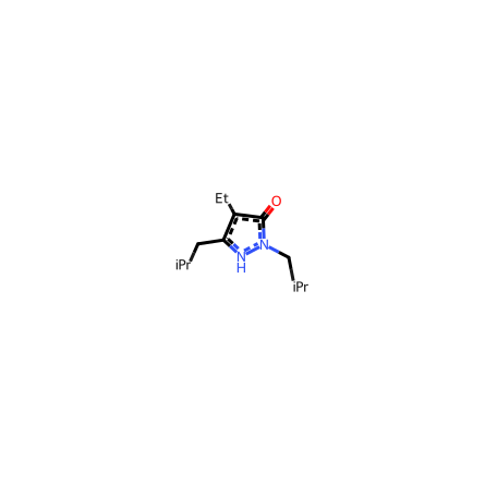 CCc1c(CC(C)C)[nH]n(CC(C)C)c1=O